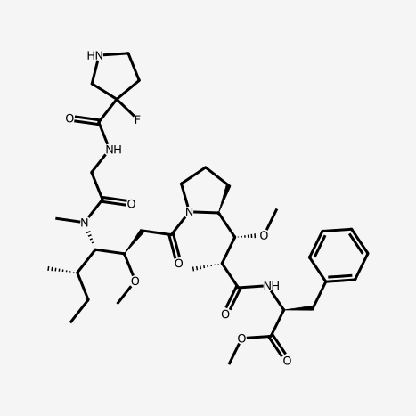 CC[C@H](C)[C@@H]([C@@H](CC(=O)N1CCC[C@H]1[C@H](OC)[C@@H](C)C(=O)N[C@@H](Cc1ccccc1)C(=O)OC)OC)N(C)C(=O)CNC(=O)C1(F)CCNC1